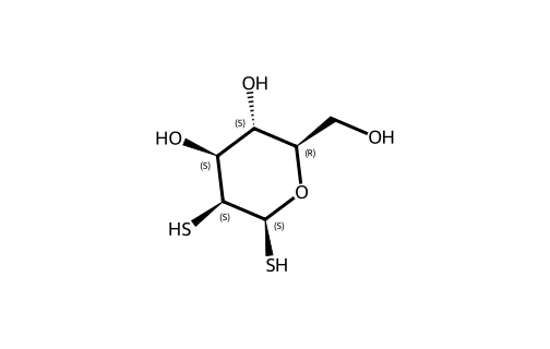 OC[C@H]1O[C@@H](S)[C@@H](S)[C@@H](O)[C@@H]1O